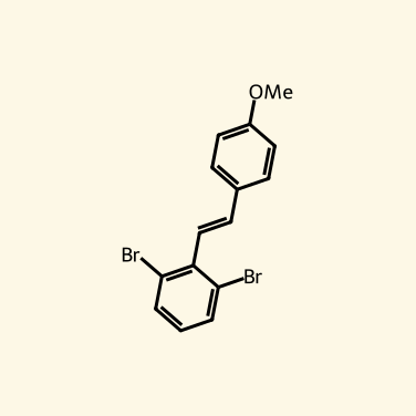 COc1ccc(C=Cc2c(Br)cccc2Br)cc1